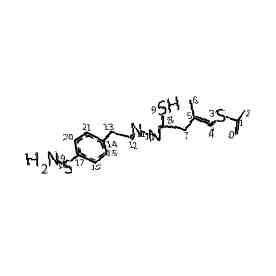 C=C(C)S/C=C(\C)C/C(S)=N/N=C/Cc1ccc(SN)cc1